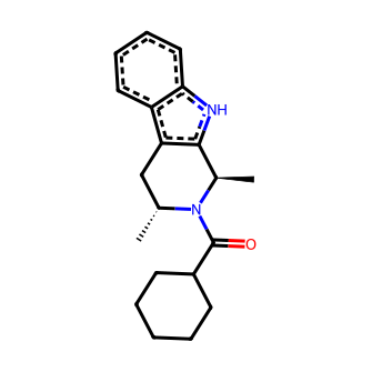 C[C@@H]1Cc2c([nH]c3ccccc23)[C@@H](C)N1C(=O)C1CCCCC1